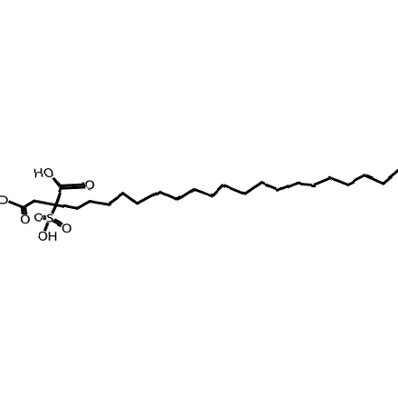 CCCCCCCCCCCCCCCCCCCCC(CC(=O)O)(C(=O)O)S(=O)(=O)O